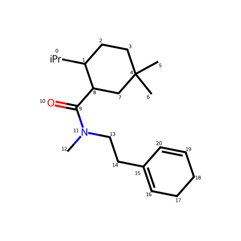 CC(C)C1CCC(C)(C)CC1C(=O)N(C)CCC1=CCCC=C1